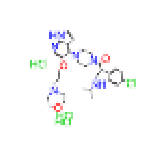 CC(C)NC[C@@H](C(=O)N1CCN(c2c(OCCCN3CCOCC3)cnc3[nH]ccc23)CC1)c1ccc(Cl)cc1.Cl.Cl.Cl